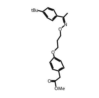 COC(=O)Cc1ccc(OCCCON=C(C)c2ccc(C(C)(C)C)cc2)cc1